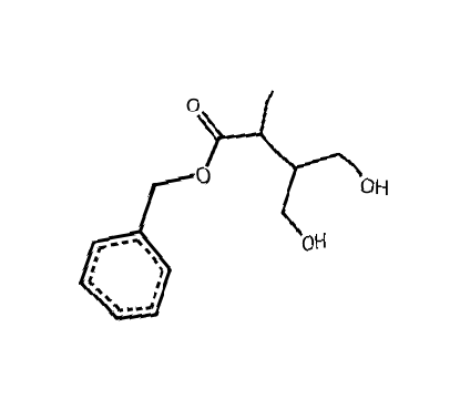 CC(C(=O)OCc1ccccc1)C(CO)CO